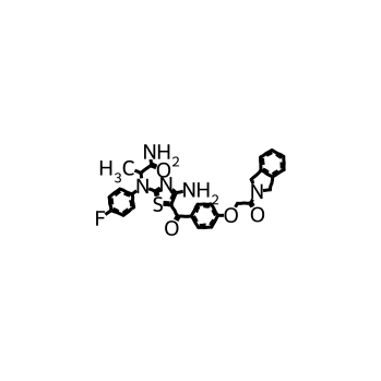 CC(C(N)=O)N(c1ccc(F)cc1)c1nc(N)c(C(=O)c2ccc(OCC(=O)N3Cc4ccccc4C3)cc2)s1